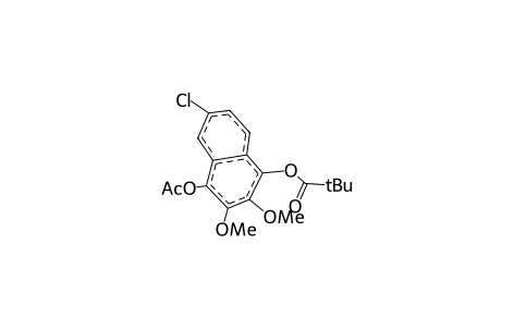 COc1c(OC)c(OC(=O)C(C)(C)C)c2ccc(Cl)cc2c1OC(C)=O